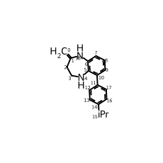 C=C1CCNc2c(cccc2-c2ccc(C(C)C)cc2)N1